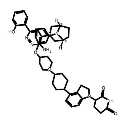 Nc1nnc(-c2ccccc2O)cc1N1C[C@H]2CC[C@@H](C1)N2c1cccc(OC2CCN(C3CCC(c4cccc5c4CCN5C4CCC(=O)NC4=O)CC3)CC2)c1